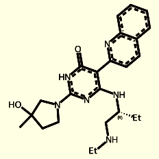 CCNC[C@@H](CC)Nc1nc(N2CCC(C)(O)C2)[nH]c(=O)c1-c1ccc2ccccc2n1